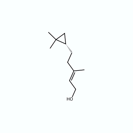 C/C(=C\CO)CC[C@H]1CC1(C)C